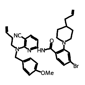 C=CCCN(Cc1ccc(OC)cc1)c1nc(NC(=O)c2ccc(Br)cc2N2CCC(CC=C)CC2)ccc1C#N